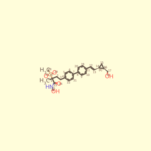 CC(CCc1ccc(-c2ccc(C=C[C@H]3C[C@H]3CO)cc2)cc1)(C(=O)NO)S(C)(=O)=O